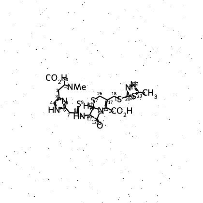 CNC(Cc1c[nH]c(CC(=S)N[C@@H]2C(=O)N3C(C(=O)O)=C(CSc4nnc(C)s4)CS[C@@H]23)n1)C(=O)O